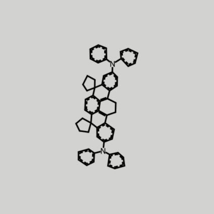 c1ccc(N(c2ccccc2)c2ccc3c(c2)C2(CCCC2)c2ccc4c5c2=C3CCC=5c2ccc(N(c3ccccc3)c3ccccc3)cc2C42CCCC2)cc1